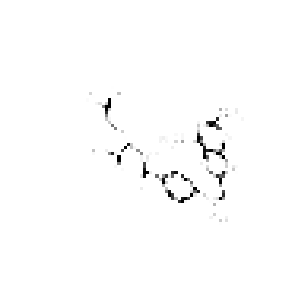 CN(Cc1nc2c(N)nc(N)nc2[nH]1)c1ccc(C(=O)N[C@@H](CCC(=O)O)C(=O)O)cc1